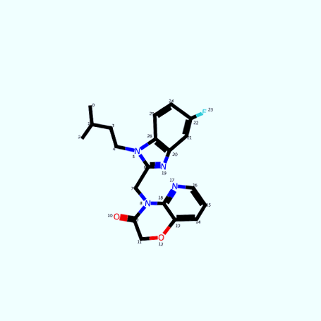 CC(C)CCn1c(CN2C(=O)COc3cccnc32)nc2cc(F)ccc21